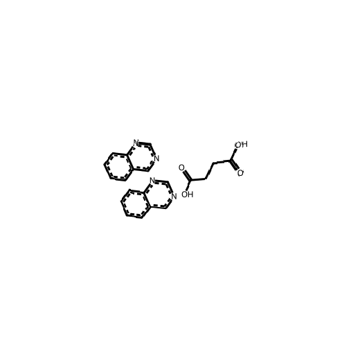 O=C(O)CCC(=O)O.c1ccc2ncncc2c1.c1ccc2ncncc2c1